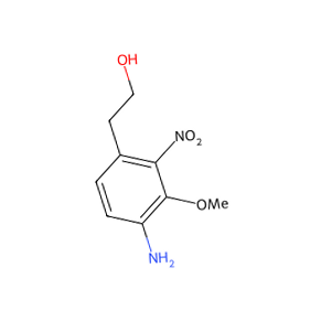 COc1c(N)ccc(CCO)c1[N+](=O)[O-]